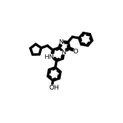 O=c1c(Cc2ccccc2)nc2c(CC3CCCC3)[nH]c(-c3ccc(O)cc3)cn1-2